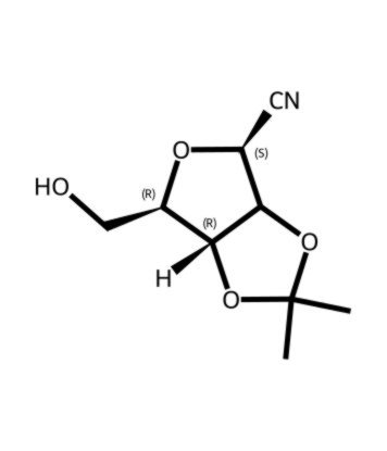 CC1(C)OC2[C@H](C#N)O[C@H](CO)[C@H]2O1